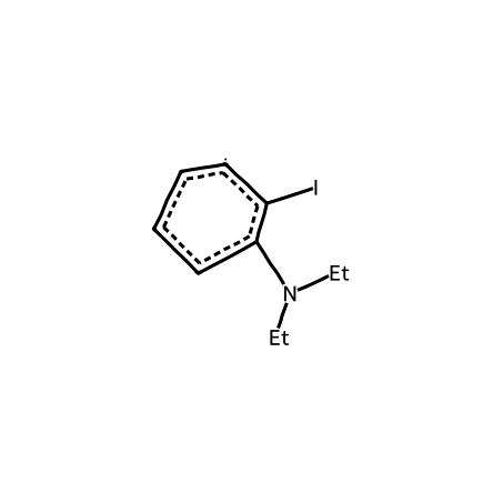 CCN(CC)c1ccc[c]c1I